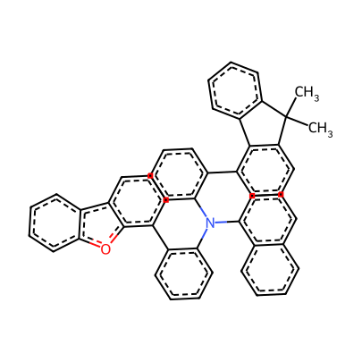 CC1(C)c2ccccc2-c2c(-c3ccccc3N(c3ccccc3-c3cccc4c3oc3ccccc34)c3cccc4ccccc34)cccc21